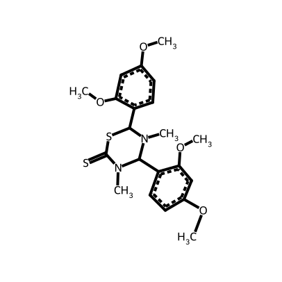 COc1ccc(C2SC(=S)N(C)C(c3ccc(OC)cc3OC)N2C)c(OC)c1